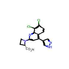 O=C(O)[C@@H]1CCN1c1cc(-c2cn[nH]c2)c2ccc(Cl)c(Cl)c2n1